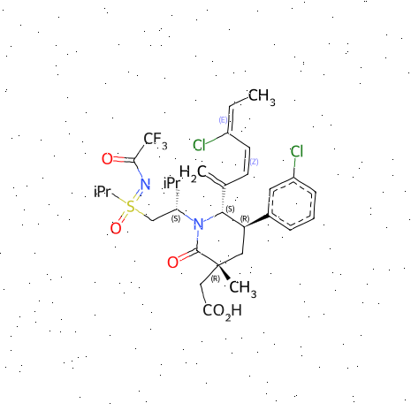 C=C(/C=C\C(Cl)=C/C)[C@@H]1[C@@H](c2cccc(Cl)c2)C[C@](C)(CC(=O)O)C(=O)N1[C@H](CS(=O)(=NC(=O)C(F)(F)F)C(C)C)C(C)C